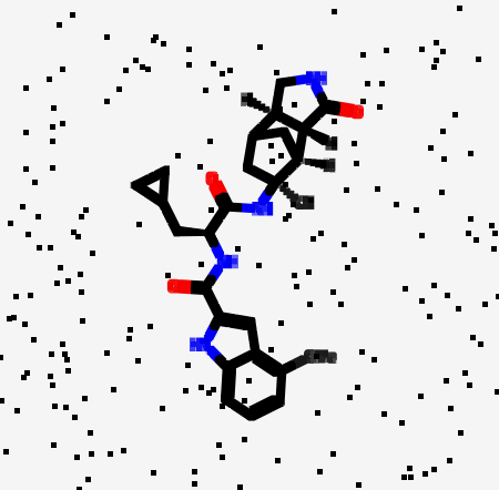 COc1cccc2[nH]c(C(=O)N[C@@H](CC3CC3)C(=O)N[C@@]3(C#N)CC4C[C@H]3[C@H]3C(=O)NC[C@H]43)cc12